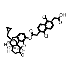 O=C(O)Cc1ccc2c(Cl)c(CC(=O)Oc3ccc4c5c3O[C@H]3C(=O)CC[C@@]6(O)[C@@H](C4)N(CC4CC4)CCC536)ccc2c1Cl